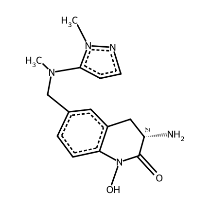 CN(Cc1ccc2c(c1)C[C@H](N)C(=O)N2O)c1ccnn1C